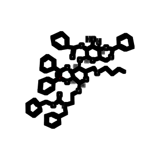 CCCCOCC1O[C@@H](OCCN(Cc2ccccc2)C(=O)OCc2ccccc2)[C@@H](OC(=O)c2ccccc2)C(OC(=O)c2ccccc2)[C@@H]1O[C@@H]1OC2COC(c3ccccc3)O[C@H]2C(O)C1OC(=O)c1ccccc1